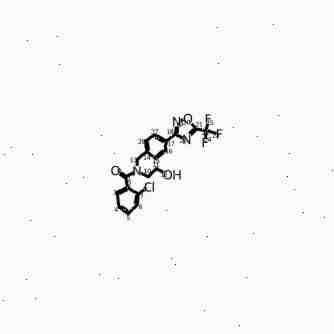 O=C(c1ccccc1Cl)N(CCO)Cc1ccc(-c2noc(C(F)(F)F)n2)cc1